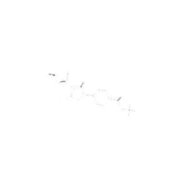 CC1=C(N2C(=O)N(C3CCN(C(=O)OC(C)(C)C)CC3)CC2C)COC1=O